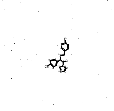 Fc1ccc(CSC(c2ccc(Cl)cc2)C(Cl)n2ccnc2)cc1